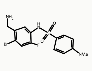 CNc1ccc(S(=O)(=O)Nc2cc(CN)c(Br)cc2F)cc1